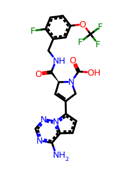 Nc1ncnn2c(C3=C[C@@H](C(=O)NCc4cc(OC(F)(F)F)ccc4F)N(C(=O)O)C3)ccc12